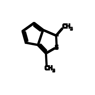 C[C]1SC(C)=C2C=CC=C12